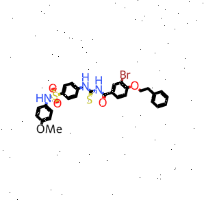 COc1ccc(NS(=O)(=O)c2ccc(NC(=S)NC(=O)c3ccc(OCCc4ccccc4)c(Br)c3)cc2)cc1